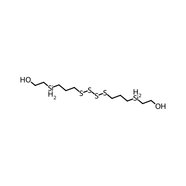 OCC[SiH2]CCCSSSSCCC[SiH2]CCO